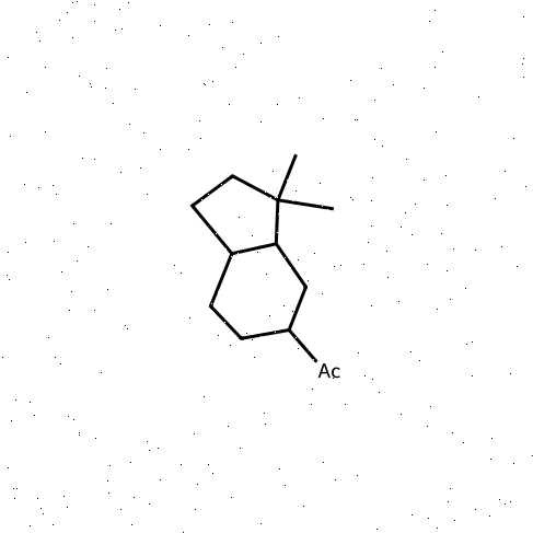 CC(=O)C1CCC2CCC(C)(C)C2C1